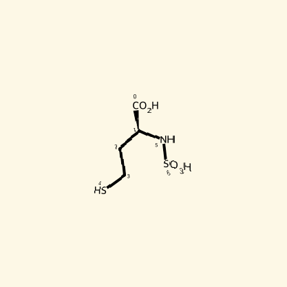 O=C(O)[C@H](CCS)NS(=O)(=O)O